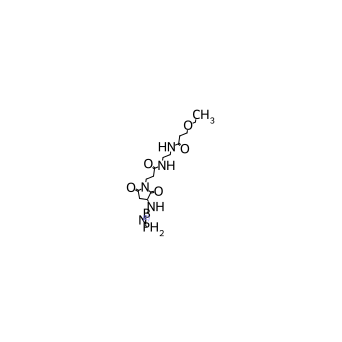 CCOCCC(=O)NCCNC(=O)CCN1C(=O)CC(N/B=N/P)C1=O